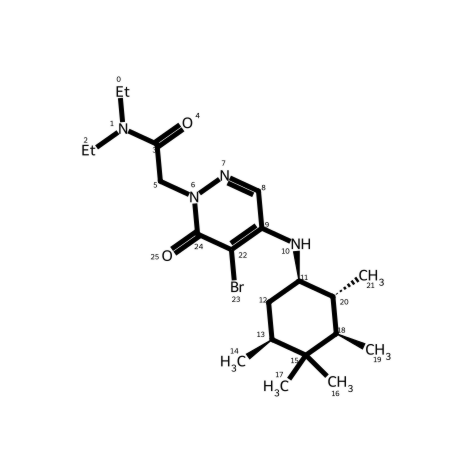 CCN(CC)C(=O)Cn1ncc(N[C@@H]2C[C@H](C)C(C)(C)[C@H](C)[C@H]2C)c(Br)c1=O